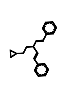 C(=CC(C=Cc1ccccc1)CCC1CC1)c1ccccc1